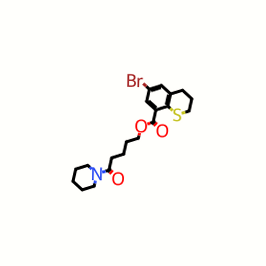 O=C(OCCCCC(=O)N1CCCCC1)c1cc(Br)cc2c1SCCC2